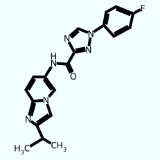 CC(C)c1cn2cc(NC(=O)c3ncn(-c4ccc(F)cc4)n3)ccc2n1